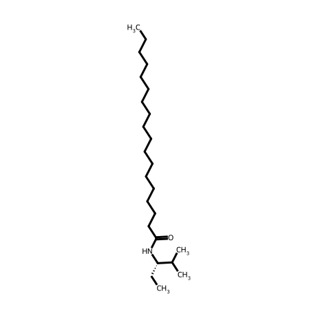 CCCCCCCCCCCCCCCCCC(=O)N[C@@H](CC)C(C)C